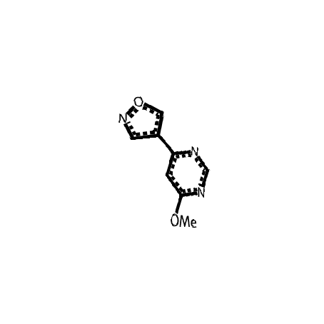 COc1cc(-c2cnoc2)ncn1